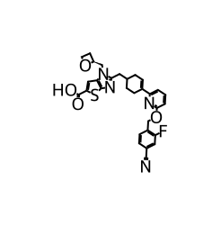 N#Cc1ccc(COc2cccc(C3=CCC(Cc4nc5sc(C(=O)O)cc5n4C[C@@H]4CCO4)CC3)n2)c(F)c1